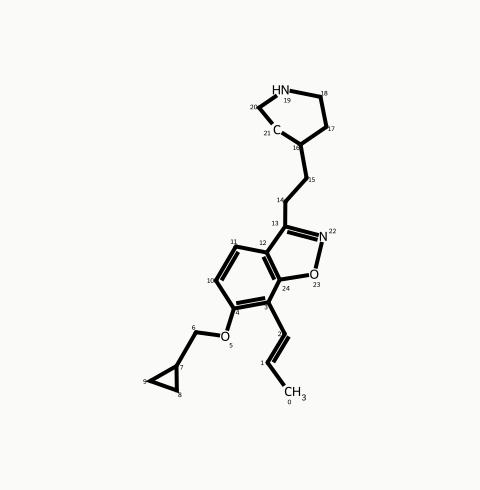 CC=Cc1c(OCC2CC2)ccc2c(CCC3CCNCC3)noc12